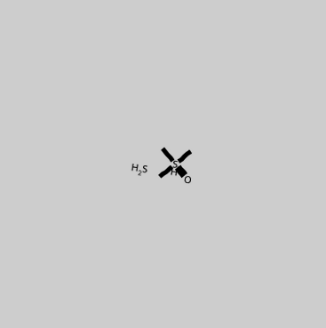 C[SH](C)(C)=O.S